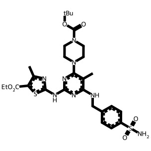 CCOC(=O)c1sc(Nc2nc(NCc3ccc(S(N)(=O)=O)cc3)c(C)c(N3CCN(C(=O)OC(C)(C)C)CC3)n2)nc1C